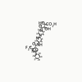 O=C(Nc1ccc(N2CCN(C(=O)C(O)C(O)C(=O)O)CC2)nc1)c1oc(-c2ccccc2)nc1C(F)(F)F